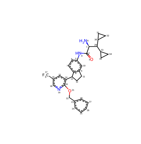 N[C@H](C(=O)Nc1ccc2c(c1)CCC2c1cc(C(F)(F)F)cnc1OCc1ccccc1)C(C1CC1)C1CC1